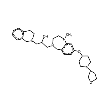 CN1CCN(CC(O)CN2CCc3ccccc3C2)Cc2ccc(OC3CCN(C4CCOC4)CC3)cc21